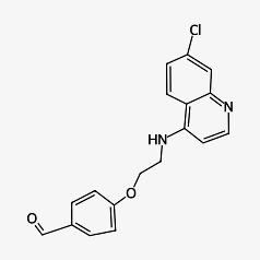 O=Cc1ccc(OCCNc2ccnc3cc(Cl)ccc23)cc1